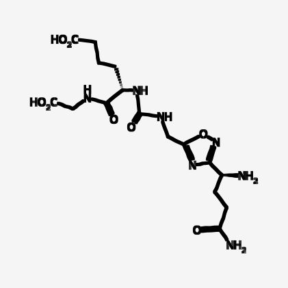 NC(=O)CC[C@H](N)c1noc(CNC(=O)N[C@@H](CCCC(=O)O)C(=O)NCC(=O)O)n1